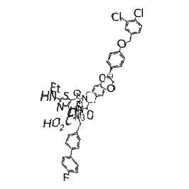 CCNc1nc(C)c(S(=O)(=O)N2Cc3cc4c(cc3CC2C(=O)N[C@@H](Cc2ccc(-c3ccc(F)cc3)cc2)C(=O)O)OC[C@H](c2ccc(OCc3ccc(Cl)c(Cl)c3)cc2)O4)s1